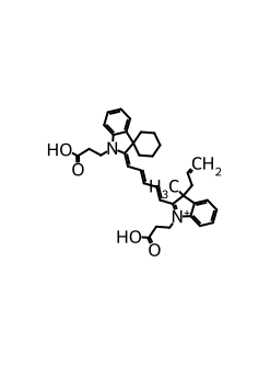 C=CCC1(C)C(/C=C/C=C/C=C2/N(CCC(=O)O)c3ccccc3C23CCCCC3)=[N+](CCC(=O)O)c2ccccc21